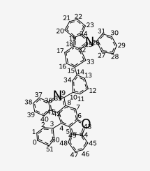 c1ccc(-c2c3c(cc4c(-c5cccc(-c6ccc7c8ccccc8n(-c8ccccc8)c7c6)c5)nc5ccccc5c24)oc2ccccc23)cc1